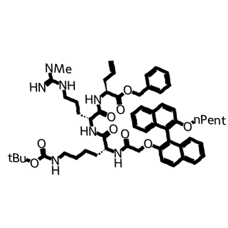 C=CC[C@H](NC(=O)[C@@H](CCCNC(=N)NC)NC(=O)[C@@H](CCCCNC(=O)OC(C)(C)C)NC(=O)COc1ccc2ccccc2c1-c1c(OCCCCC)ccc2ccccc12)C(=O)OCc1ccccc1